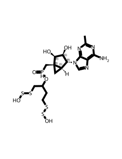 Cc1nc(N)c2ncn([C@H]3[C@H](O)[C@H](O)[C@@]4(C[PH](=O)OC(CCSSO)CSSO)C[C@H]34)c2n1